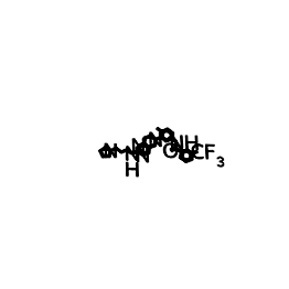 Cc1ccc(NC(=O)c2cccc(C(F)(F)F)c2)cc1N1CCc2nc(NCCCN3CCCC3)ncc2C1